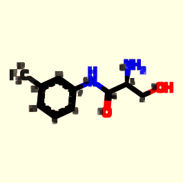 N[C@@H](CO)C(=O)Nc1cccc(C(F)(F)F)c1